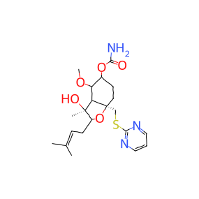 COC1C(OC(N)=O)CC[C@@]2(CSc3ncccn3)OC(CC=C(C)C)[C@@](C)(O)C12